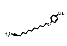 [CH2]c1ccc(OCCCCCCCCCCC#CC)cc1